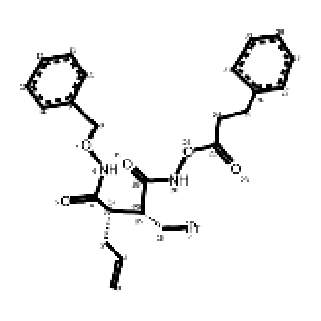 C=CC[C@H](C(=O)NOCc1ccccc1)[C@@H](CC(C)C)C(=O)NOC(=O)CCc1ccccc1